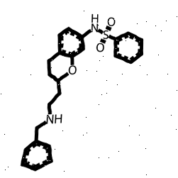 O=S(=O)(Nc1ccc2c(c1)OC(CCNCc1ccccc1)CC2)c1ccccc1